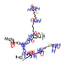 CNC(=O)C1CCN(c2nc(N3CCC(NC(=O)C(CS(=O)(=O)O)NC(=O)CCCCCNC(=O)CCCCC4SCC5NC(=O)NC54)CC3)nc(N3CCC(NC(=O)C(CS(=O)(=O)O)NC(=O)CCCCCNC(=O)CCCCC4SCC5NC(=O)NC54)CC3)n2)CC1